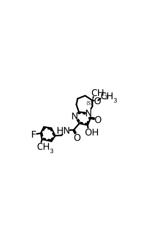 CO[C@@]1(C)CCCc2nc(C(=O)NCc3ccc(F)c(C)c3)c(O)c(=O)n2C1